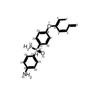 C=C/C=C\C(=C/C)Oc1ccc([SH](=O)(P)c2ccc(N)cc2)cc1